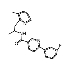 Cc1cccnc1CC(C)NC(=O)c1ccc(-c2cccc(F)c2)nc1